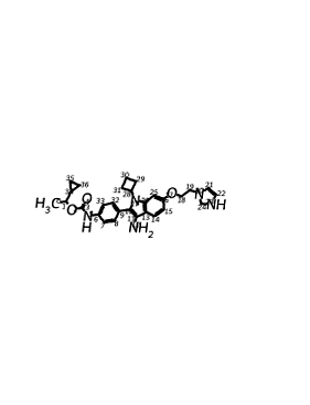 CC(OC(=O)Nc1ccc(-c2c(N)c3ccc(OCCN4C=CNC4)cc3n2C2CCC2)cc1)C1CC1